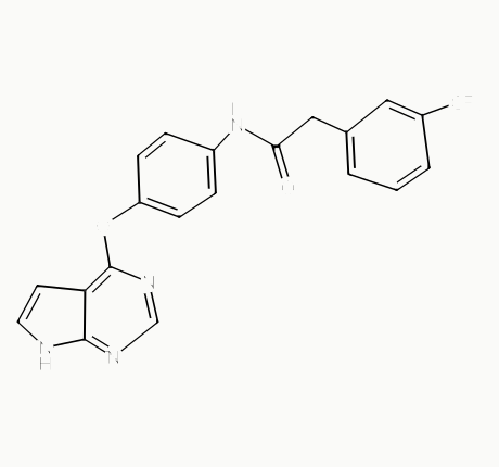 O=C(Cc1cccc(C(F)(F)F)c1)Nc1ccc(Oc2ncnc3[nH]ccc23)cc1